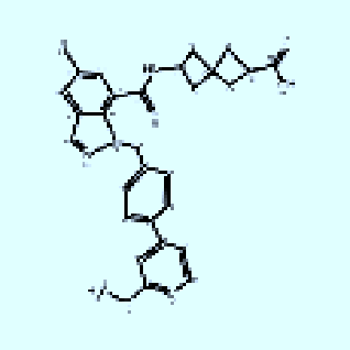 COc1cc(-c2ccc(Cn3ncc4cc(Cl)cc(C(=O)NC5CC6(C5)CC(C(=O)O)C6)c43)cc2)ccn1